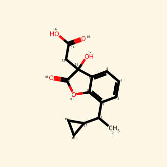 CC(c1cccc2c1OC(=O)C2(O)CC(=O)O)C1CC1